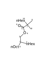 CCCCCCCCC(CCCCCC)COC(=O)C(C)(C)CCCCCC